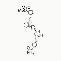 COc1ccc(CCO[C@@H]2CCCC[C@H]2N2CC[C@@H](NCC(O)COc3ccc(CC(N)=O)cc3)C2)cc1OC